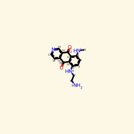 CNc1ccc(NCCN)c2c1C(=O)c1cnccc1C2=O